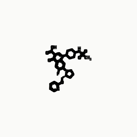 CS(=O)(=O)NC1CCC(n2cc(C(=O)O)c(=O)c3cc(F)c(N4CCC[C@@H]4COc4ccccn4)cc32)CC1